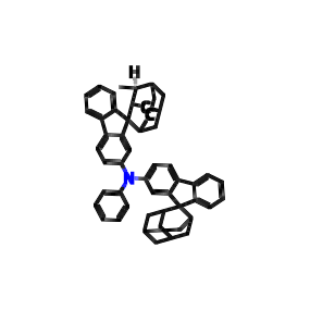 C[C@H]1C2CCC3CC(C2)CC1C31c2ccccc2-c2ccc(N(c3ccccc3)c3ccc4c(c3)C3(c5ccccc5-4)C4CC5CC(C4)CC3C5)cc21